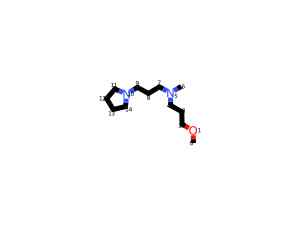 COCCCN(C)CCCN1CCCC1